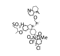 COC(=O)C1(N(C(=O)C(F)(F)F)c2cccc(Cl)c2)CCC2(CC1)c1cc(OC(C)CCS(=O)(=O)O)ccc1C[C@@H]2C[C@@H](C)COc1ccnc2c1[C@H](C)CCC2